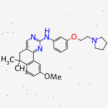 COc1ccc2c(c1)-c1nc(Nc3cccc(OCCN4CCCC4)c3)ncc1CC2(C)C